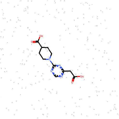 O=C(O)Cc1ncnc(N2CCC(C(=O)O)CC2)n1